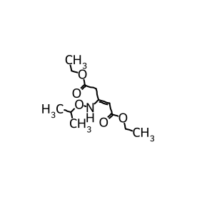 CCOC(=O)C=C(CC(=O)OCC)NOC(C)C